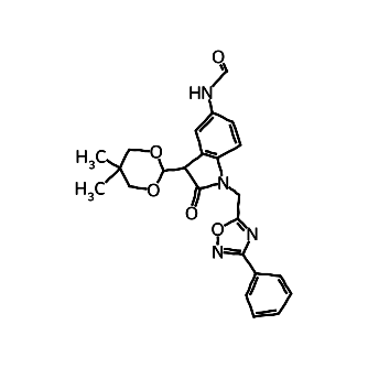 CC1(C)COC(C2C(=O)N(Cc3nc(-c4ccccc4)no3)c3ccc(NC=O)cc32)OC1